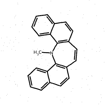 CN1c2c(ccc3ccccc23)C=Cc2ccc3ccccc3c21